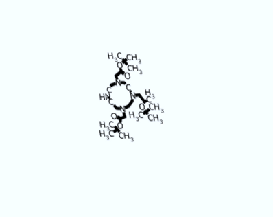 CC(CN1CCN(CC(=O)OC(C)(C)C)CCNCCN(CC(=O)OC(C)(C)C)CC1)OC(C)(C)C